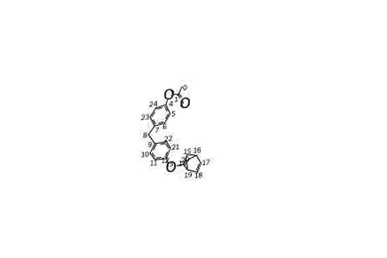 CC(=O)Oc1ccc(Cc2ccc(OC3CC4C=CC3C4)cc2)cc1